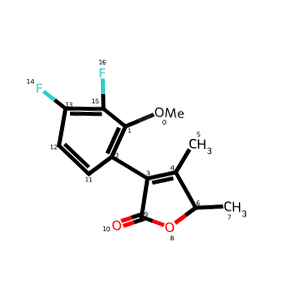 COc1c(C2=C(C)C(C)OC2=O)ccc(F)c1F